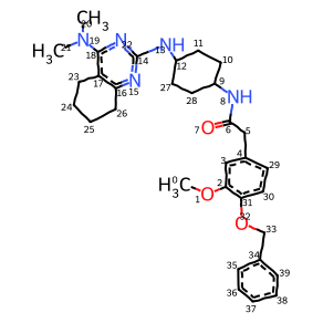 COc1cc(CC(=O)NC2CCC(Nc3nc4c(c(N(C)C)n3)CCCC4)CC2)ccc1OCc1ccccc1